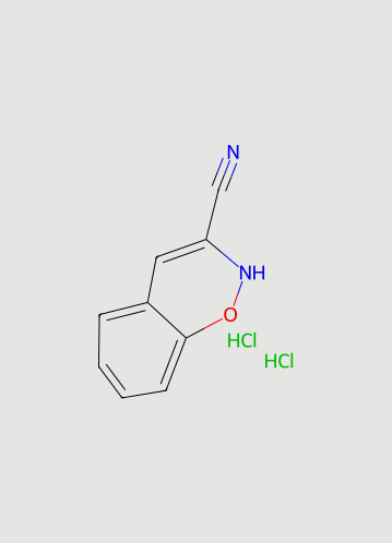 Cl.Cl.N#CC1=Cc2ccccc2ON1